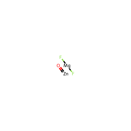 [F][Mg][F].[O]=[Zn]